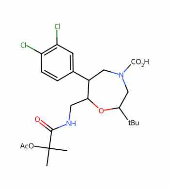 CC(=O)OC(C)(C)C(=O)NCC1OC(C(C)(C)C)CN(C(=O)O)CC1c1ccc(Cl)c(Cl)c1